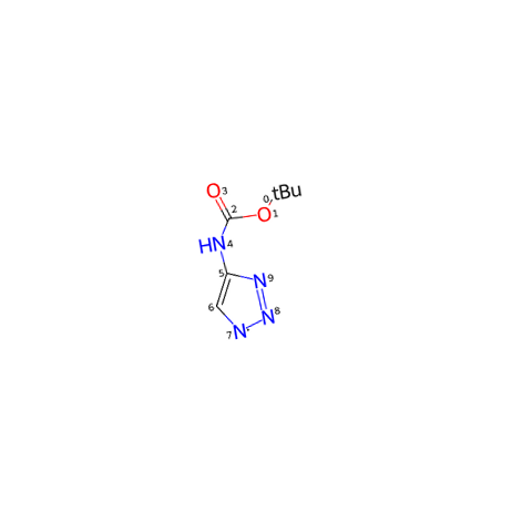 CC(C)(C)OC(=O)NC1=C[N]N=N1